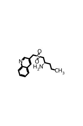 CCC[C@H](N)CS(=O)(=O)Cc1cnc2ccccc2c1